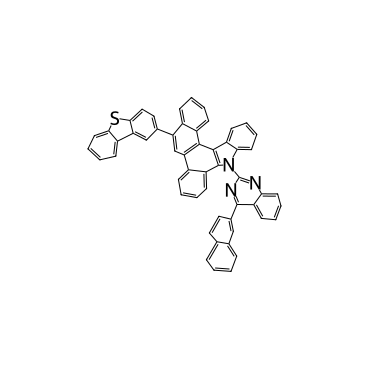 c1ccc2cc(-c3nc(-n4c5ccccc5c5c6c7ccccc7c(-c7ccc8sc9ccccc9c8c7)cc6c6ccccc6c54)nc4ccccc34)ccc2c1